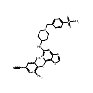 Cc1cc(C#N)cc(C)c1Oc1nc(NC2CCN(Cc3ccc(S(N)(=O)=O)cc3)CC2)nc2ncsc12